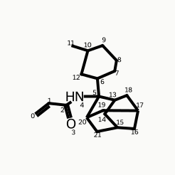 C=CC(=O)NC1(C2CCCC(C)C2)C2CC3CC(C2)CC1C3